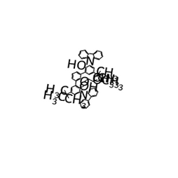 CCOCCOc1c(-c2cc(C(C)(C)C)cc(-n3c4ccccc4c4ccccc43)c2O)cccc1-c1cc(C(C)(C)C)cc(-n2c3ccccc3c3ccccc32)c1O